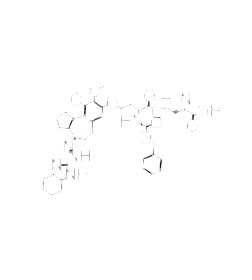 COc1c(OCCC(NC(=O)OCc2ccccc2)C(=O)OCCC(N)C(=O)O)cc2c(c1OC)C1=C(CCC1)C(=NNC1=NC3CCCCC3N1)CC2